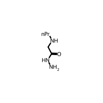 CCCNCC(=O)NN